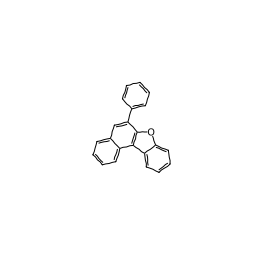 c1ccc(-c2cc3ccccc3c3c2oc2ccccc23)cc1